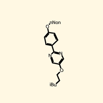 CCCCCCCCCOc1ccc(-c2ncc(OCCC(C)CC)cn2)cc1